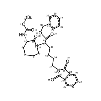 CC(C)(C)OC(=O)N[C@H]1CCCCN(C(CCCCN2C(=O)c3ccccc3C2=O)C(=O)OCc2ccccc2)C1=O